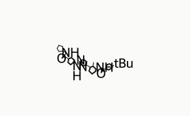 Cc1c(NC(=O)c2ccc(C(C)(C)C)cc2)cccc1-c1ccnc(Nc2ccc(C(=O)NC3CCCC3)cc2)n1